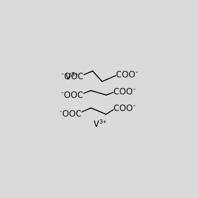 O=C([O-])CCC(=O)[O-].O=C([O-])CCC(=O)[O-].O=C([O-])CCC(=O)[O-].[V+3].[V+3]